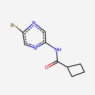 O=C(Nc1cnc(Br)cn1)C1CCC1